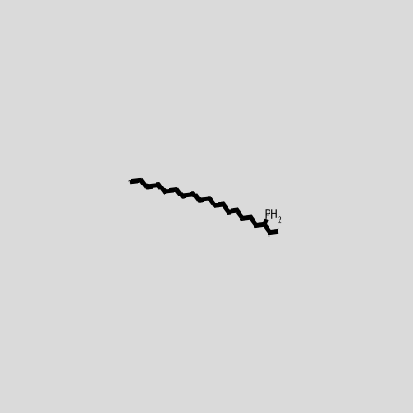 CCCCCCCCCCCCCCCCCC(P)CC